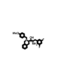 COc1ccc(CN2Cc3ccccc3CC2[C@@H](O)[C@@H](N)Cc2cc(F)cc(F)c2)cc1